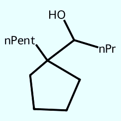 CCCCCC1(C(O)CCC)CCCC1